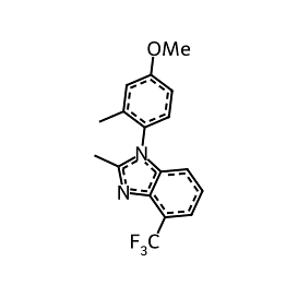 COc1ccc(-n2c(C)nc3c(C(F)(F)F)cccc32)c(C)c1